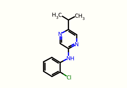 CC(C)c1cnc(Nc2ccccc2Cl)cn1